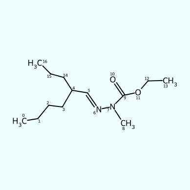 CCCCC(/C=N/N(C)C(=O)OCC)CCC